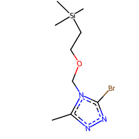 Cc1nnc(Br)n1COCC[Si](C)(C)C